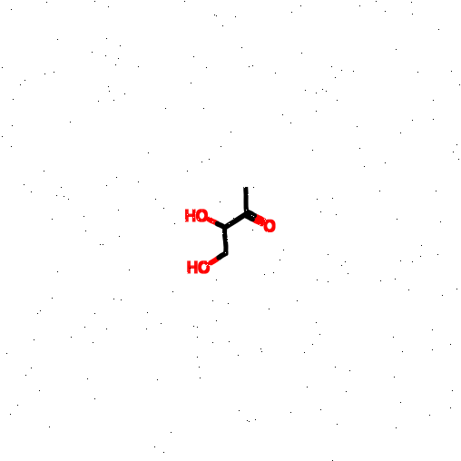 CC(=O)C(O)CO